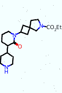 CCOC(=O)N1CCC2(CC(N3CCCC(C4CCNCC4)C3=O)C2)C1